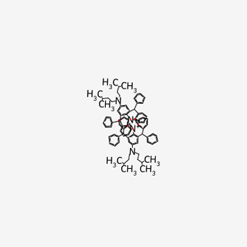 CC(C)CCN(CCC(C)C)c1cc(C(c2ccccc2)c2ccccc2)c(-n2cc[n+](-c3c(C(c4ccccc4)c4ccccc4)cc(N(CCC(C)C)CCC(C)C)cc3C(c3ccccc3)c3ccccc3)c2)c(C(c2ccccc2)c2ccccc2)c1